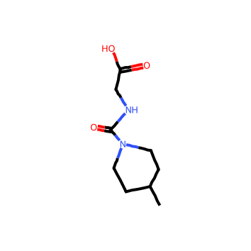 CC1CCN(C(=O)NCC(=O)O)CC1